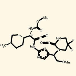 COCC(c1cnc(NC(=C=O)[C@@H](NC(=O)OC(C)(C)C)[C@H]2CC[C@H](C)CC2)s1)N1CC(F)(F)CNC1=C=O